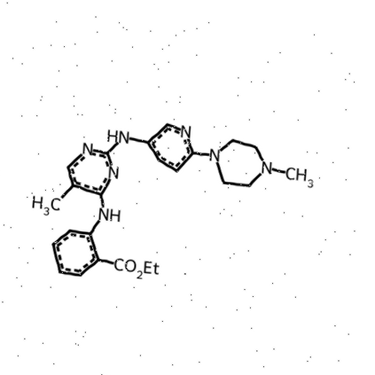 CCOC(=O)c1ccccc1Nc1nc(Nc2ccc(N3CCN(C)CC3)nc2)ncc1C